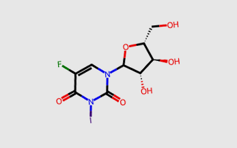 O=c1c(F)cn(C2O[C@H](CO)[C@@H](O)[C@@H]2O)c(=O)n1I